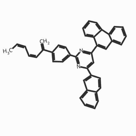 C=C(/C=C\C=C/C)c1ccc(-c2nc(-c3ccc4ccccc4c3)cc(-c3cc4ccccc4c4ccccc34)n2)cc1